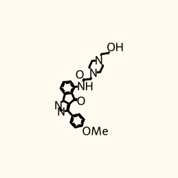 COc1ccc(C2=C3C(=O)c4c(NC(=O)CN5CCN(CCO)CC5)cccc4C3N=N2)cc1